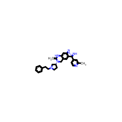 C=C1Nc2cc(N)c(C(=N)c3ccnc(C)c3)cc2CN1[C@@H]1CCN(CCc2ccccc2)C1